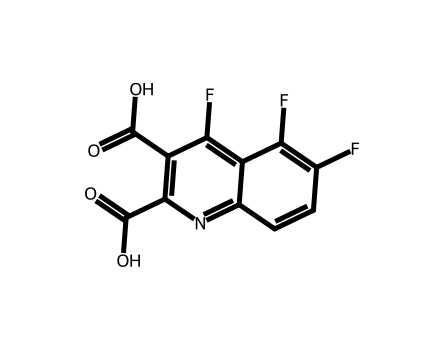 O=C(O)c1nc2ccc(F)c(F)c2c(F)c1C(=O)O